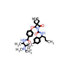 CCCC(NC(=O)N1C(=O)C(CC)(CC)C1Oc1ccc(C(=O)NC(C)C(C)N(C)C)cc1)c1ccc(C)cc1